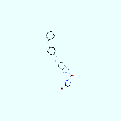 CC(=O)c1ccn(C(=O)N2C[C@H]3C[C@H](NCc4ccc(Oc5ccc(Cl)cc5)cc4)C[C@H]3C2)n1